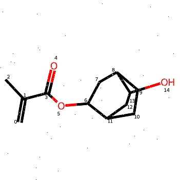 C=C(C)C(=O)OC1CC2CCC1CC2O